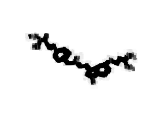 CC(C)=CCOc1ccc2[nH]cc(CCNCc3ccc(/C=C/C(=O)N(N)O)cc3)c2c1